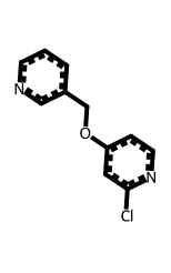 Clc1cc(OCc2cccnc2)ccn1